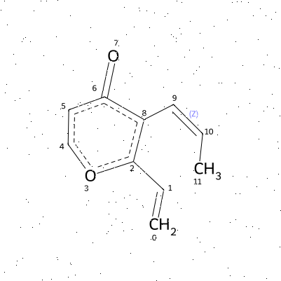 C=Cc1occc(=O)c1/C=C\C